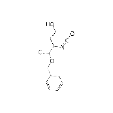 O=C=NC(CCO)C(=O)OCc1ccccc1